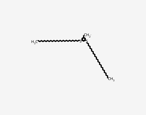 [CH2]Cc1cc(SCCCCCCCCCCCCCCCCCCCCCCCCCCCC)cc(SCCCCCCCCCCCCCCCCCCCCCCCCCCCC)c1